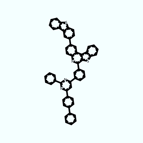 c1ccc(-c2ccc(-c3cc(-c4cccc(-c5nc6ccc(-c7ccc8sc9ccccc9c8c7)cc6c6c5sc5ccccc56)c4)nc(-c4ccccc4)n3)cc2)cc1